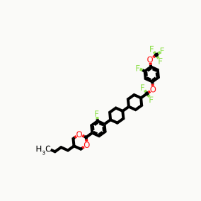 CCCCC1COC(c2ccc(C3CCC(C4CCC(C(F)(F)Oc5ccc(OC(F)(F)F)c(F)c5)CC4)CC3)c(F)c2)OC1